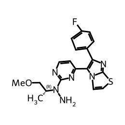 COC[C@@H](C)N(N)c1nccc(-c2c(-c3ccc(F)cc3)nc3sccn23)n1